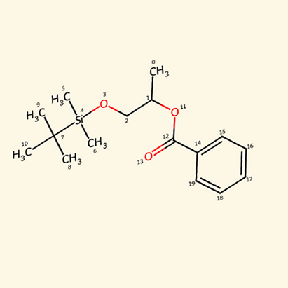 CC(CO[Si](C)(C)C(C)(C)C)OC(=O)c1ccccc1